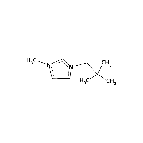 Cn1cc[n+](CC(C)(C)C)c1